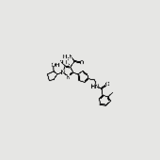 Cc1ccccc1C(=O)NCc1ccc(-c2nn(C3CCCC3O)c(N)c2C(N)=O)cc1